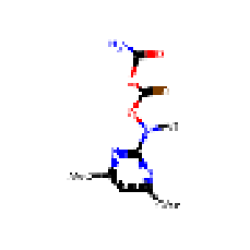 CCN(OC(=S)OC(N)=O)c1nc(OC)cc(OC)n1